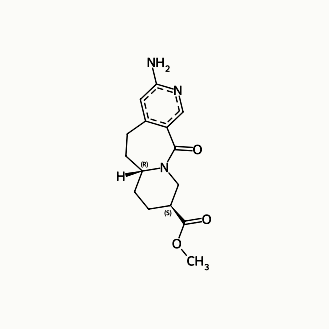 COC(=O)[C@H]1CC[C@@H]2CCc3cc(N)ncc3C(=O)N2C1